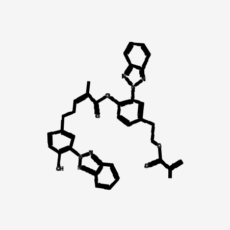 C=C(C)C(=O)OCCc1ccc(OC(=O)C(C)=CCCc2ccc(O)c(-n3nc4ccccc4n3)c2)c(-n2nc3ccccc3n2)c1